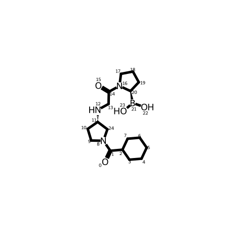 O=C(C1CCCCC1)N1CC[C@H](NCC(=O)N2CCC[C@H]2B(O)O)C1